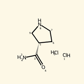 Cl.Cl.NC(=O)[C@H]1CCNC1